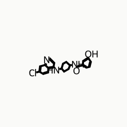 O=C(NC1CCC(Nc2ccnc3cc(Cl)ccc23)CC1)c1cccc(O)c1